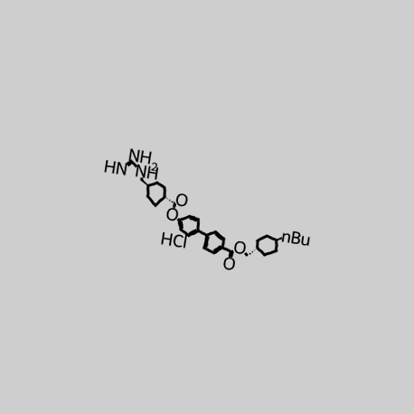 CCCC[C@H]1CC[C@H](COC(=O)c2ccc(-c3ccc(OC(=O)[C@H]4CC[C@H](CNC(=N)N)CC4)cc3)cc2)CC1.Cl